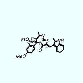 CCOC(=O)C1=C(C)N=c2s/c(=C\c3c(C)[nH]c4c3=CCCC=4)c(=O)n2C1c1ccc(OC)cc1OC